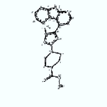 Cc1nc(N2CCN(C(=O)OC(C)(C)C)CC2)sc1-c1ccnc2[nH]c3ccccc3c12